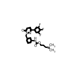 CN(C)CCCOC(=O)Nc1cccc(Cn2nc(-c3cc(F)c(F)c(F)c3)ccc2=O)c1